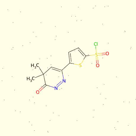 CC1(C)C=C(c2ccc(S(=O)(=O)Cl)s2)N=NC1=O